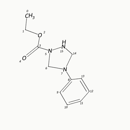 CCOC(=O)N1CN(c2ccccc2)CN1